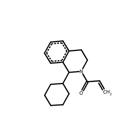 C=CC(=O)N1CCc2ccccc2C1C1CCCCC1